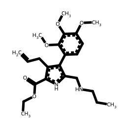 C=CCc1c(C(=O)OCC)[nH]c(CNCCC)c1-c1ccc(OC)c(OC)c1OC